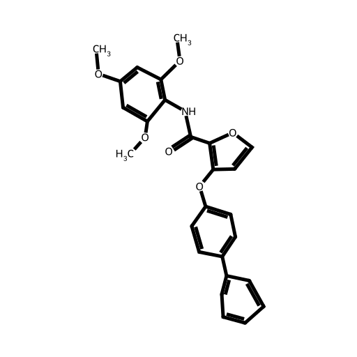 COc1cc(OC)c(NC(=O)c2occc2Oc2ccc(-c3ccccc3)cc2)c(OC)c1